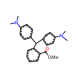 COC(=O)c1ccccc1C(c1ccc(N(C)C)cc1)c1ccc(N(C)C)cc1